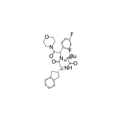 CC[C@H](C)[C@@H]1C(=O)N[C@H](C2Cc3ccccc3C2)C(=O)N1C(C(=O)N1CCOCC1)c1ccc(F)cc1F